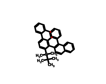 CC(C)(C)[Si](C)(C)c1ccc2c(ccc3ccccc32)c1-c1ccc2ccccc2c1-c1ccccc1